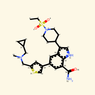 CCS(=O)(=O)N1CCC(c2c[nH]c3c(C(N)=O)cc(-c4csc(CN(C)CC5CC5)c4)cc23)CC1